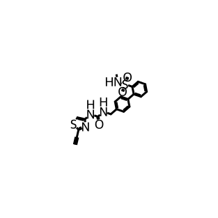 C#Cc1nc(NC(=O)NCc2ccc(-c3ccccc3S(=O)(=O)NC)cc2)cs1